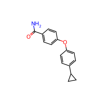 NC(=O)c1ccc(Oc2ccc(C3CC3)cc2)cc1